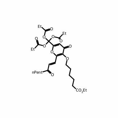 CCCCCC(=O)C=Cc1oc(C(OC(=O)CC)(OC(=O)CC)OC(=O)CC)cc(=O)c1OCCCCCC(=O)OCC